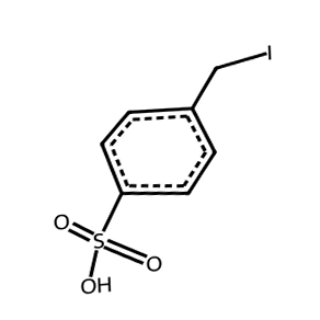 O=S(=O)(O)c1ccc(CI)cc1